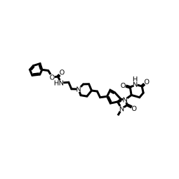 Cn1c(=O)n(C2CCC(=O)NC2=O)c2ccc(CCC3CCN(CCNC(=O)OCc4ccccc4)CC3)cc21